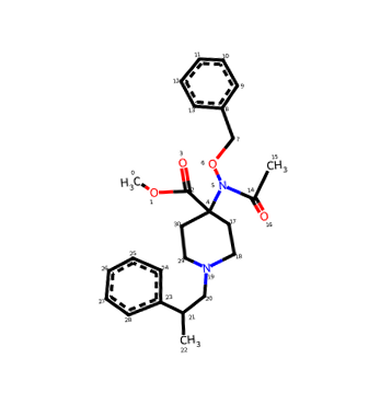 COC(=O)C1(N(OCc2ccccc2)C(C)=O)CCN(CC(C)c2ccccc2)CC1